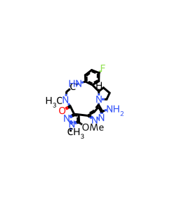 COc1c2c(nn1C)C(=O)N(C)CCNc1ccc(F)cc1[C@H]1CCCN1c1cc-2nnc1N